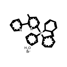 C=C1C=CC=CC1[P+](c1ccccc1)(c1ccccc1)c1ccc(C)c(-c2ccccn2)n1.O.[Br-]